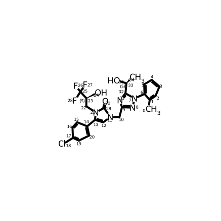 Cc1ccccc1-n1nc(Cn2cc(-c3ccc(Cl)cc3)n(C[C@H](O)C(F)(F)F)c2=O)nc1[C@H](C)O